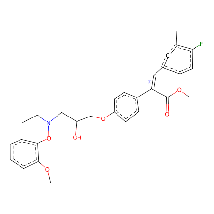 CCN(CC(O)COc1ccc(/C(=C/c2ccc(F)c(C)c2)C(=O)OC)cc1)Oc1ccccc1OC